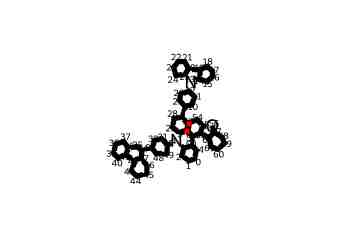 c1ccc(N(c2ccc(-c3ccc(-n4c5ccccc5c5ccccc54)cc3)cc2)c2ccc(-c3cc4ccccc4c4ccccc34)cc2)c(-c2cccc3oc4ccccc4c23)c1